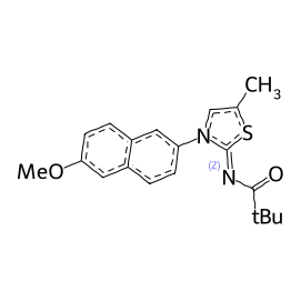 COc1ccc2cc(-n3cc(C)s/c3=N\C(=O)C(C)(C)C)ccc2c1